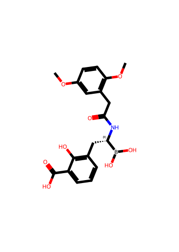 COc1ccc(OC)c(CC(=O)N[C@@H](Cc2cccc(C(=O)O)c2O)B(O)O)c1